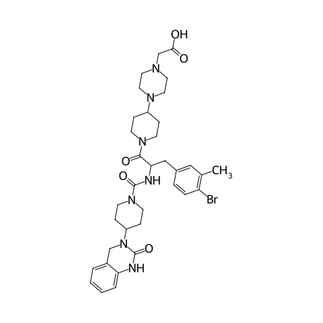 Cc1cc(CC(NC(=O)N2CCC(N3Cc4ccccc4NC3=O)CC2)C(=O)N2CCC(N3CCN(CC(=O)O)CC3)CC2)ccc1Br